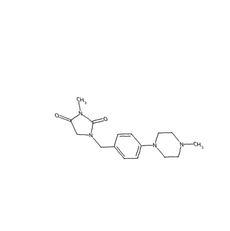 CN1CCN(c2ccc(CN3CC(=O)N(C)C3=O)cc2)CC1